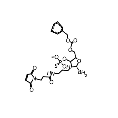 B[C@@H]1O[C@H](COC(=O)OCc2ccccc2)C(OP(O)(=S)OC)[C@@H]1CCCNC(=O)CCN1C(=O)C=CC1=O